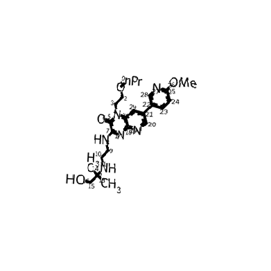 CCCOCCn1c(=O)c(NCCNC(C)(C)CO)nc2ncc(-c3ccc(OC)nc3)cc21